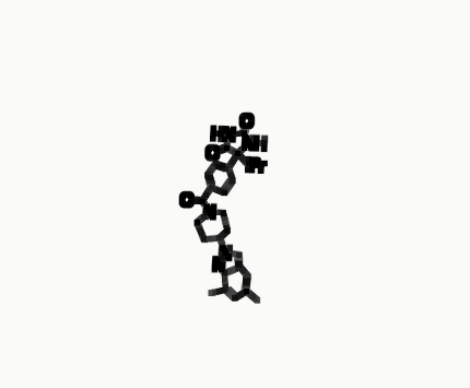 Cc1cc(C)c2nn(C3CCN(C(=O)c4ccc(C5(C(C)C)NC(=O)NC5=O)cc4)CC3)cc2c1